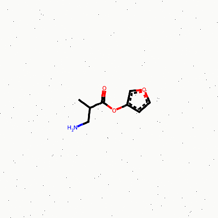 CC(CN)C(=O)Oc1ccoc1